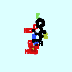 O=C(O)[C@@H]1c2c(-c3ccc(F)cc3)csc2[C@@H]2CN1C(=O)N2OS(=O)(=O)O